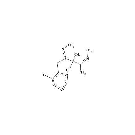 C/N=S(/Cc1ccccc1F)C(C)(C)/C(N)=N\C